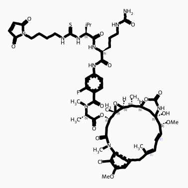 COc1cc2cc(c1Cl)N(C)C(=O)C[C@H](OC(=O)[C@H](C)N(C)C(=O)c1ccc(NC(=O)[C@H](CCCNC(N)=O)NC(=O)[C@@H](NC(=S)NCCCCN3C(=O)C=CC3=O)C(C)C)cc1F)[C@]1(C)O[C@H]1[C@H](C)[C@@H]1C[C@@](O)(NC(=O)O1)[C@H](OC)/C=C/C=C(\C)C2